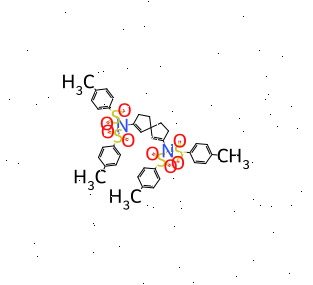 Cc1ccc(S(=O)(=O)N(C2=CC3(C=C(N(S(=O)(=O)c4ccc(C)cc4)S(=O)(=O)c4ccc(C)cc4)CC3)CC2)S(=O)(=O)c2ccc(C)cc2)cc1